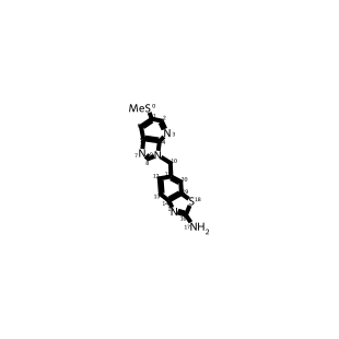 CSc1cnc2c(c1)ncn2Cc1ccc2nc(N)sc2c1